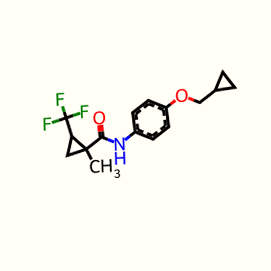 CC1(C(=O)Nc2ccc(OCC3CC3)cc2)CC1C(F)(F)F